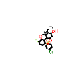 N#CC[C@H]1[C@H](O)CC[C@]2(S(=O)(=O)c3ccc(Cl)cc3)c3c(F)ccc(F)c3OC[C@H]12